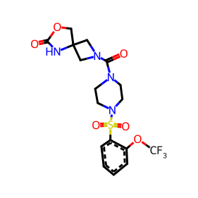 O=C1NC2(CO1)CN(C(=O)N1CCN(S(=O)(=O)c3ccccc3OC(F)(F)F)CC1)C2